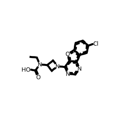 CCN(C(=O)O)C1CN(c2ncnc3c2oc2ccc(Cl)cc23)C1